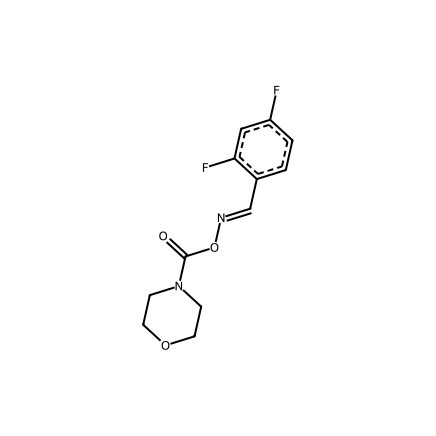 O=C(ON=Cc1ccc(F)cc1F)N1CCOCC1